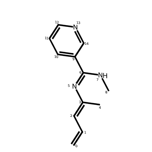 C=C/C=C(C)/N=C(\NC)c1cccnc1